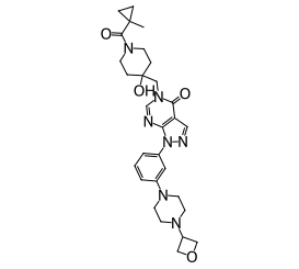 CC1(C(=O)N2CCC(O)(Cn3cnc4c(cnn4-c4cccc(N5CCN(C6COC6)CC5)c4)c3=O)CC2)CC1